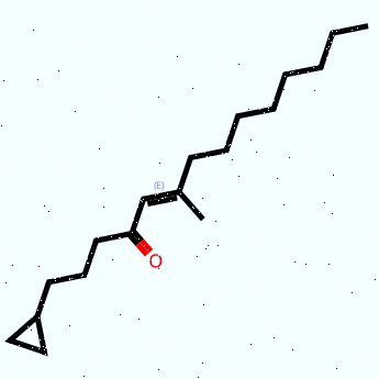 CCCCCCCC/C(C)=C/C(=O)CCCC1CC1